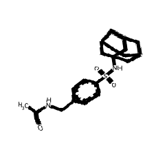 CC(=O)NCc1ccc(S(=O)(=O)NC23CC4CC(CC(C4)C2)C3)cc1